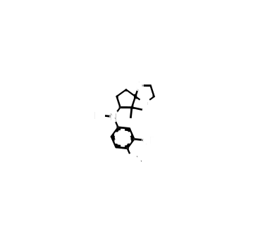 CCN(c1ccc(C#N)c(C(F)(F)F)c1)C1CCC2(OCCO2)C1(C)C